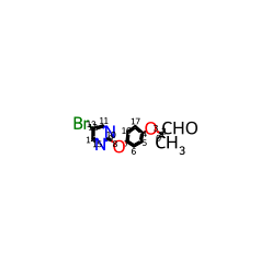 CC(C=O)Oc1ccc(Oc2ncc(Br)cn2)cc1